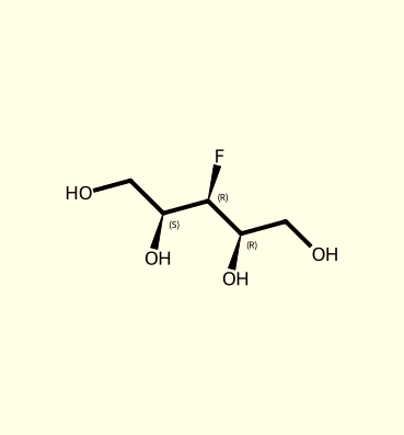 OC[C@@H](O)[C@H](F)[C@@H](O)CO